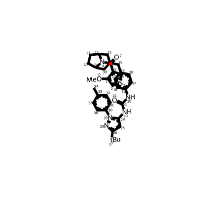 COc1cscc1C(=O)N1C2CCC1CC(Cc1ccc(NC(=O)Nc3cc(C(C)(C)C)nn3-c3ccc(C)cc3)cc1)C2